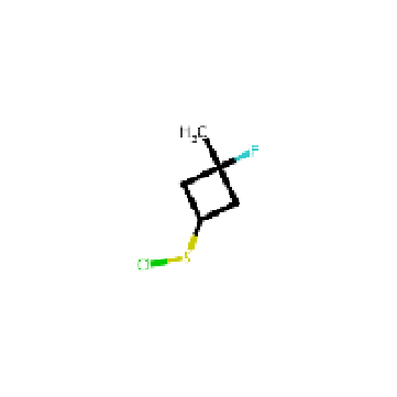 CC1(F)CC(SCl)C1